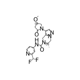 CO[C@H]1CC(=O)N(c2cnn3c2CN(C(=O)Nc2ccnc(C(F)F)c2)[C@@H](C)C3)C1